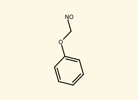 O=NCOc1ccccc1